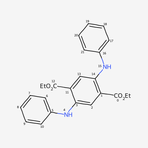 CCOC(=O)c1cc(Nc2ccccc2)c(C(=O)OCC)cc1Nc1ccccc1